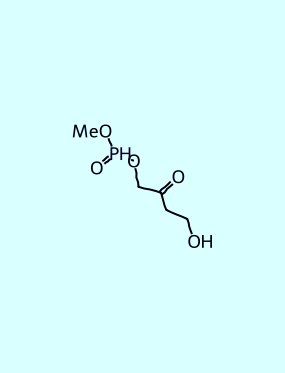 CO[PH](=O)OCC(=O)CCO